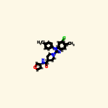 Cc1ccc(-n2c(N3CCC(C(=O)N[C@@H]4CCOC4)CC3)nc3cc(C)c(Cl)cc32)cc1